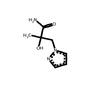 CC(O)(Cn1cccn1)C(N)=O